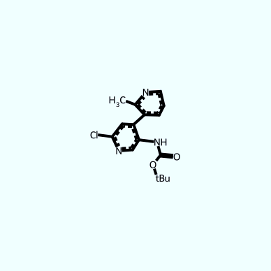 Cc1ncccc1-c1cc(Cl)ncc1NC(=O)OC(C)(C)C